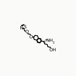 NC[C@H](CCCCO)c1ccc2c(c1)CC[C@H](OCCOCc1nccs1)C2